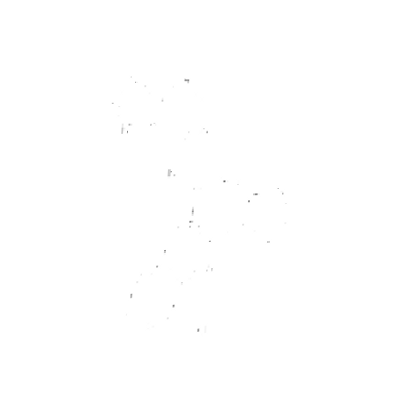 CC(Nc1ncnc2[nH]cnc12)c1cc2cccc(Cl)c2nc1-c1cncs1